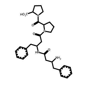 NC(CC(=O)NC(CC(=O)N1CCCC1C(=O)N1CCCC1C(=O)O)Cc1ccccc1)Cc1ccccc1